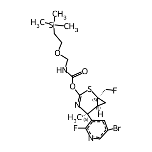 C[C@]1(c2cc(Br)cnc2F)N=C(OC(=O)NCOCC[Si](C)(C)C)S[C@@]2(CF)C[C@H]21